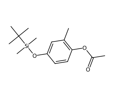 CC(=O)Oc1ccc(O[Si](C)(C)C(C)(C)C)cc1C